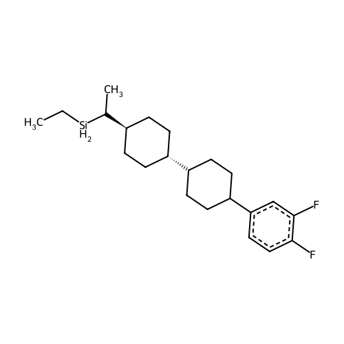 CC[SiH2]C(C)[C@H]1CC[C@H](C2CCC(c3ccc(F)c(F)c3)CC2)CC1